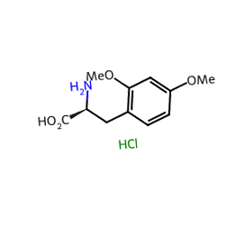 COc1ccc(C[C@H](N)C(=O)O)c(OC)c1.Cl